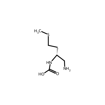 CSCC[C@H](CN)NC(=O)O